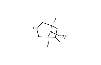 CC1C[C@@H]2CNC[C@H]1N2C(=O)O